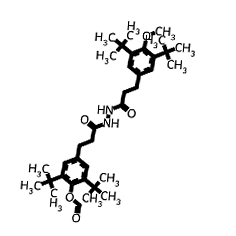 COc1c(C(C)(C)C)cc(CCC(=O)NNC(=O)CCc2cc(C(C)(C)C)c(OC=O)c(C(C)(C)C)c2)cc1C(C)(C)C